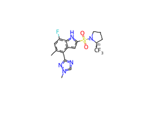 Cc1cc(F)c2[nH]c(S(=O)(=O)N3CCC[C@H]3C(F)(F)F)cc2c1-c1ncn(C)n1